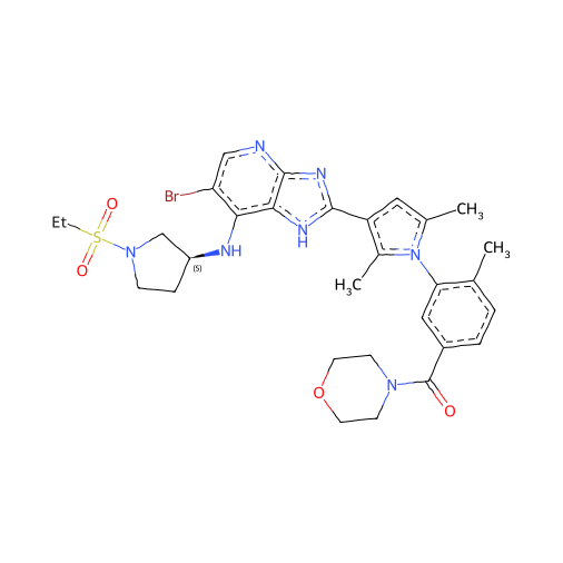 CCS(=O)(=O)N1CC[C@H](Nc2c(Br)cnc3nc(-c4cc(C)n(-c5cc(C(=O)N6CCOCC6)ccc5C)c4C)[nH]c23)C1